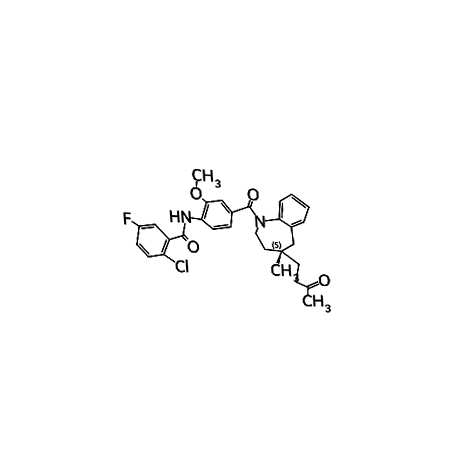 COc1cc(C(=O)N2CC[C@@](C)(CCC(C)=O)Cc3ccccc32)ccc1NC(=O)c1cc(F)ccc1Cl